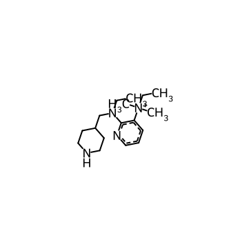 CCN(CC1CCNCC1)c1ncccc1[N+](C)(C)CC